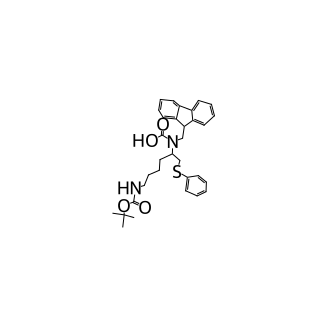 CC(C)(C)OC(=O)NCCCCC(CSc1ccccc1)N(CC1c2ccccc2-c2ccccc21)C(=O)O